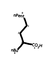 CCCCCCCC(CCCC)C(=O)O